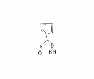 N=N[C](C=O)c1ccccc1